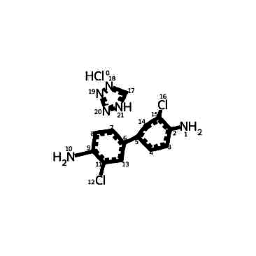 Cl.Nc1ccc(-c2ccc(N)c(Cl)c2)cc1Cl.c1nnn[nH]1